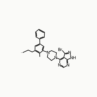 [CH2]CCc1cc(-c2ccccc2)cc(N2CCN(c3ncnc4[nH]nc(Br)c34)CC2)c1C